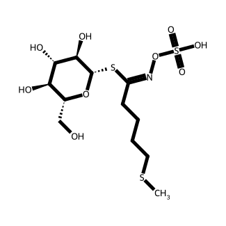 CSCCCC/C(=N/OS(=O)(=O)O)S[C@@H]1O[C@H](CO)[C@@H](O)[C@H](O)[C@H]1O